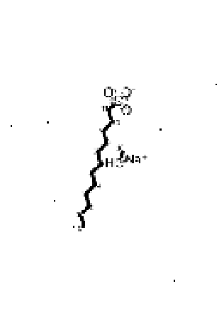 CCCCCCCCCCCCS(=O)(=O)[O-].CO.[Na+]